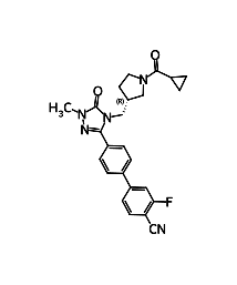 Cn1nc(-c2ccc(-c3ccc(C#N)c(F)c3)cc2)n(C[C@@H]2CCN(C(=O)C3CC3)C2)c1=O